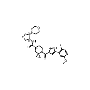 COc1cc(-c2cc(C(=O)N3CC[C@H](C(=O)N[C@H]4COC[C@H]4N4CCOCC4)CC34CC4)n[nH]2)c(F)cn1